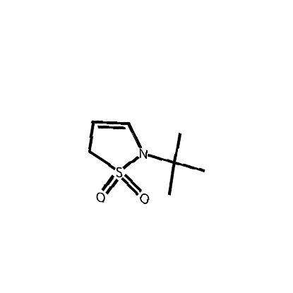 CC(C)(C)N1C=CCS1(=O)=O